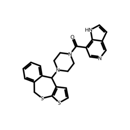 O=C(c1cncc2cc[nH]c12)N1CCN(C2c3ccccc3CSc3sccc32)CC1